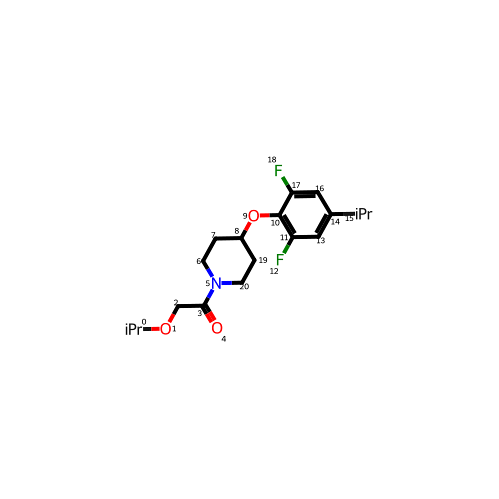 CC(C)OCC(=O)N1CCC(Oc2c(F)cc(C(C)C)cc2F)CC1